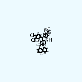 CC1=C(C(=O)N[C@@H](C)c2cccc3ccccc23)C(c2ccc(Cl)c(Cl)c2)n2nc(C(F)(F)F)cc2N1